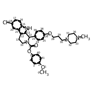 COc1ccc(OC(=O)N2CCc3c([nH]c4ccc(Cl)cc34)C2c2ccc(OCCCN3CCN(C)CC3)cc2)cc1